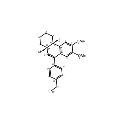 COc1cc2c(cc1OC)[C@H]1CCCC[C@H]1N=C2c1ccc(CCl)cc1